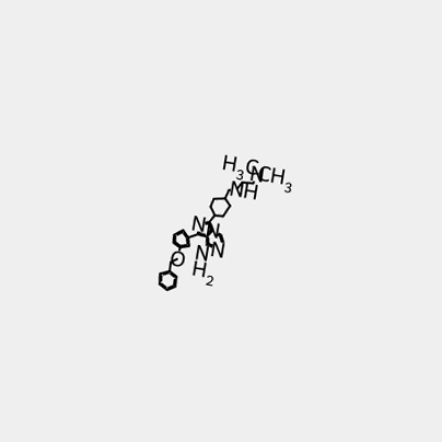 CN(C)CCNCC1CCC(c2nc(-c3cccc(OCc4ccccc4)c3)c3c(N)nccn23)CC1